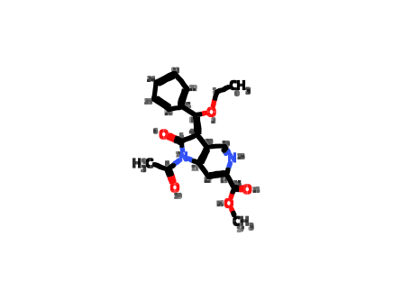 CCOC(=C1C(=O)N(C(C)=O)c2cc(C(=O)OC)ncc21)c1ccccc1